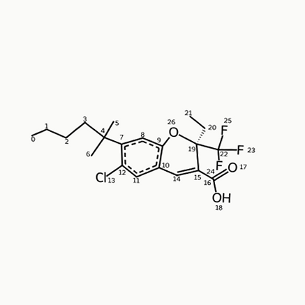 CCCCC(C)(C)c1cc2c(cc1Cl)C=C(C(=O)O)[C@](CC)(C(F)(F)F)O2